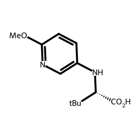 COc1ccc(N[C@H](C(=O)O)C(C)(C)C)cn1